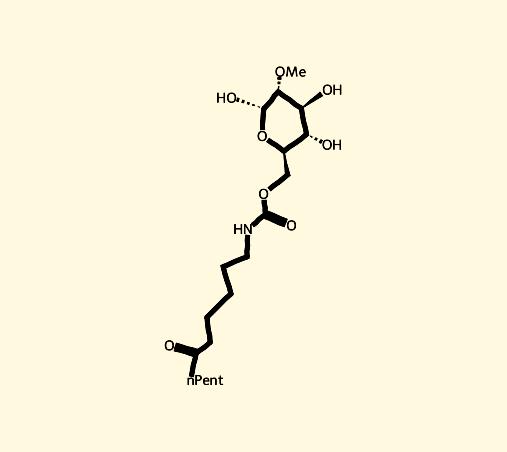 CCCCCC(=O)CCCCCNC(=O)OC[C@H]1O[C@H](O)[C@H](OC)[C@@H](O)[C@@H]1O